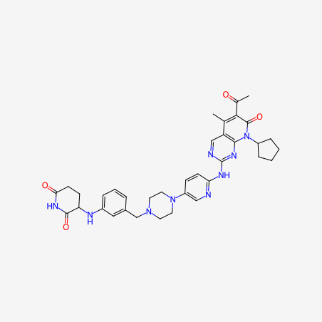 CC(=O)c1c(C)c2cnc(Nc3ccc(N4CCN(Cc5cccc(NC6CCC(=O)NC6=O)c5)CC4)cn3)nc2n(C2CCCC2)c1=O